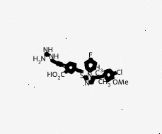 COc1cc(C(C)(C)c2cnc(SCc3ccc(C#CCNC(=N)N)c(C(=O)O)c3)n2-c2ccc(F)cc2)ccc1Cl